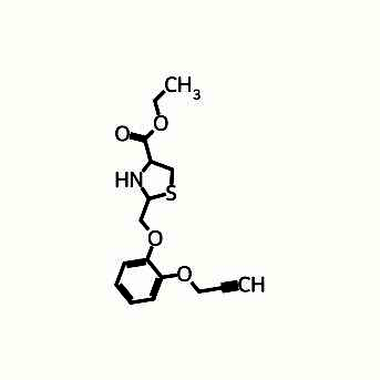 C#CCOc1ccccc1OCC1NC(C(=O)OCC)CS1